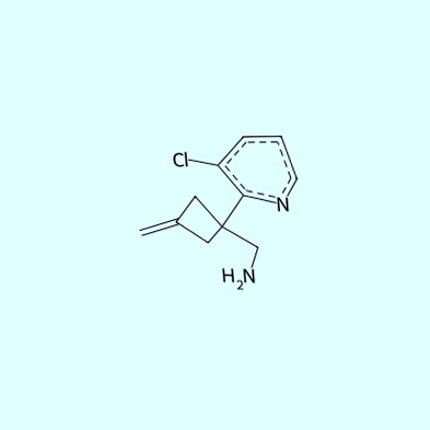 C=C1CC(CN)(c2ncccc2Cl)C1